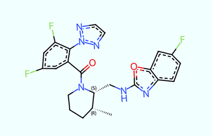 C[C@@H]1CCCN(C(=O)c2cc(F)cc(F)c2-n2nccn2)[C@@H]1CNc1nc2ccc(F)cc2o1